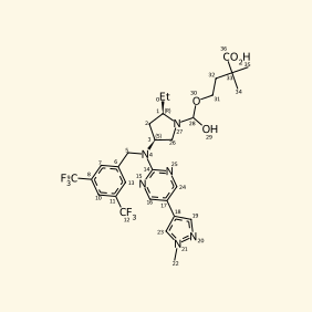 CC[C@@H]1C[C@H](N(Cc2cc(C(F)(F)F)cc(C(F)(F)F)c2)c2ncc(-c3cnn(C)c3)cn2)CN1C(O)OCCC(C)(C)C(=O)O